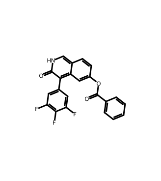 O=C(Oc1ccc2c[nH]c(=O)c(-c3cc(F)c(F)c(F)c3)c2c1)c1ccccc1